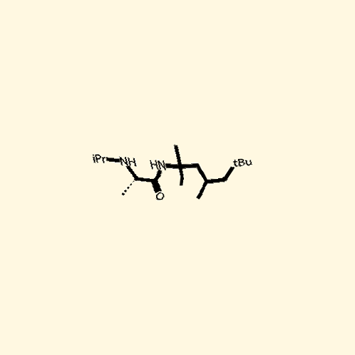 CC(CC(C)(C)C)CC(C)(C)NC(=O)[C@H](C)NC(C)C